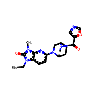 Cn1c(=O)n(CC(C)(C)C)c2ccc(N3CC4CCC3CN4C(=O)c3cnco3)nc21